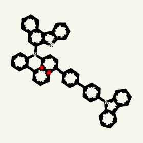 c1ccc(-c2ccccc2N(c2ccc(-c3ccc(-c4ccc(-n5c6ccccc6c6ccccc65)cc4)cc3)cc2)c2cc3ccccc3c3c2oc2ccccc23)cc1